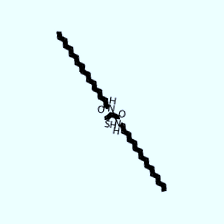 CCCCCCCC/C=C/CCCCCCCC(=O)NC(CS)C(=O)NCCCCCCCCCCCCCCCC